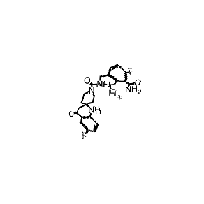 Cc1c(CNC(=O)N2CCC3(CC2)CC(=O)c2cc(F)ccc2N3)ccc(F)c1C(N)=O